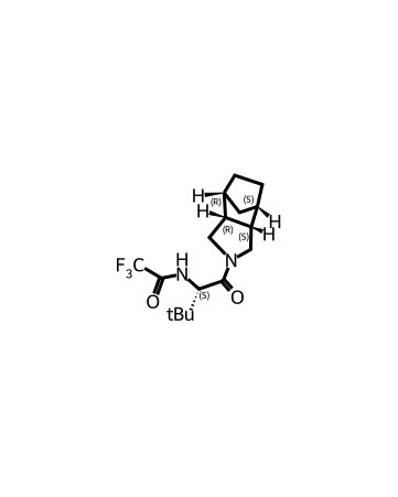 CC(C)(C)[C@H](NC(=O)C(F)(F)F)C(=O)N1C[C@@H]2[C@@H]3CC[C@@H](C3)[C@@H]2C1